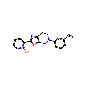 Cc1cccc(N2CCc3nc(-c4cccc[n+]4[O-])oc3C2)c1